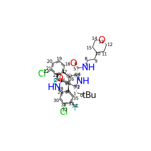 CC(C)(C)C[C@H]1N[C@@H](C(=O)NCCC2CCOCC2)[C@H](c2cccc(Cl)c2F)[C@@]12C(=O)Nc1cc(Cl)c(F)cc12